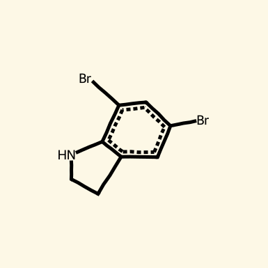 Brc1cc(Br)c2c(c1)CCN2